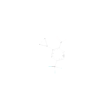 O=C(O)c1ccc(C(F)(F)F)cc1C1CC1